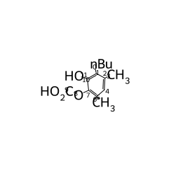 CCCCc1c(C)cc(C)c(OC(=O)O)c1O